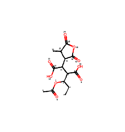 CCC(OC(C)=O)C(C(=O)O)C(C(=O)O)C1C(=O)OC(=O)C1C